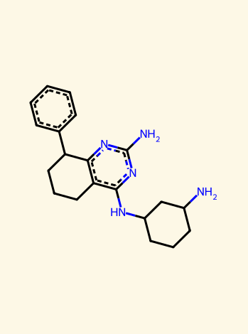 Nc1nc(NC2CCCC(N)C2)c2c(n1)C(c1ccccc1)CCC2